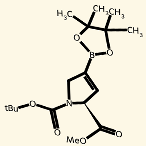 COC(=O)[C@@H]1C=C(B2OC(C)(C)C(C)(C)O2)CN1C(=O)OC(C)(C)C